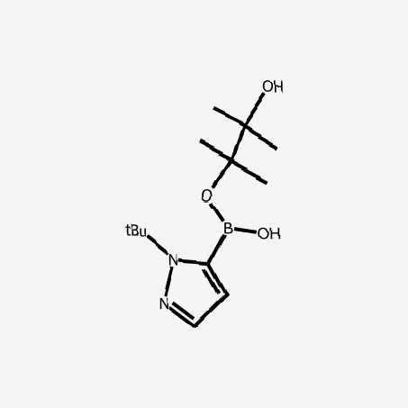 CC(C)(C)n1nccc1B(O)OC(C)(C)C(C)(C)O